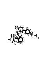 COc1ccc(-c2ccc(=O)n(CC(=O)NC(C)c3ccccc3Cl)n2)cc1